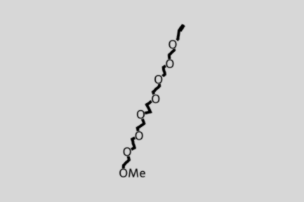 C=CCOCCOCCOCCOCCOCCOCCOCCOC